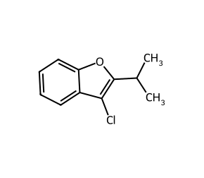 CC(C)c1oc2ccccc2c1Cl